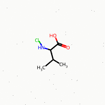 CC(C)C(NCl)C(=O)O